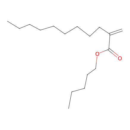 C=C(CCCCCCCCC)C(=O)OCCCCC